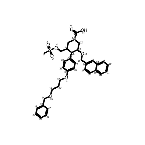 CS(=O)(=O)OCC1CN(C(=O)O)CC(OCc2ccc3ccccc3c2)C1c1ccc(OCCCOCc2ccccc2)cc1